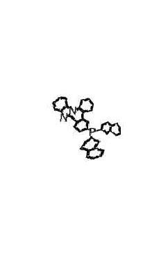 c1ccc2cc(P(c3ccc4ccccc4c3)c3ccc4c(c3)c3ccccc3n3c5ccccc5nc43)ccc2c1